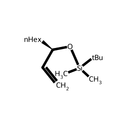 C=C[C@@H](CCCCCC)O[Si](C)(C)C(C)(C)C